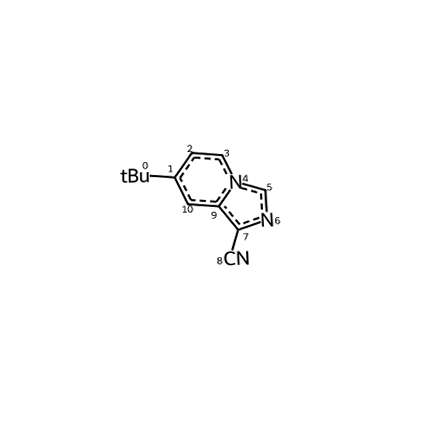 CC(C)(C)c1ccn2cnc(C#N)c2c1